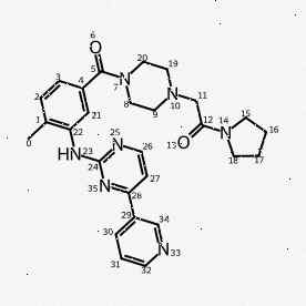 Cc1ccc(C(=O)N2CCN(CC(=O)N3CCCC3)CC2)cc1Nc1nccc(-c2cccnc2)n1